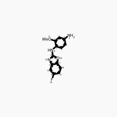 COc1cc(N)ccc1Nc1nc2cc(F)ccc2o1